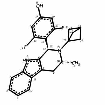 C[C@@H]1Cc2c([nH]c3ccccc23)[C@@H](c2c(F)cc(O)cc2F)N1C12CC(C1)C2